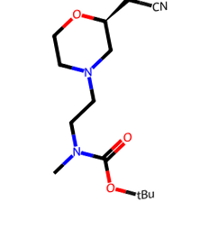 CN(CCN1CCO[C@@H](CC#N)C1)C(=O)OC(C)(C)C